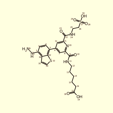 NNc1ccc(-c2cc(C(=O)NCCCCCC(=O)O)nc(C(=O)NCCS(=O)(=O)O)c2)c2sccc12